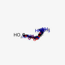 CCCCCNc1nc(N)nc2ccn(Cc3ccc(CN4CCN(C(=O)CCOCCC(=O)NCCCC[C@H](N)C(=O)O)CC4)cc3C)c12